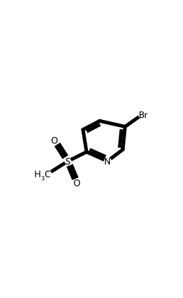 CS(=O)(=O)c1ccc(Br)cn1